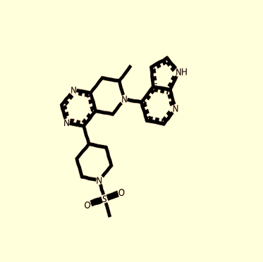 CC1Cc2ncnc(C3CCN(S(C)(=O)=O)CC3)c2CN1c1ccnc2[nH]ccc12